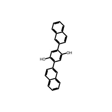 Oc1cc(-c2ccc3ccccc3c2)c(O)cc1-c1ccc2ccccc2c1